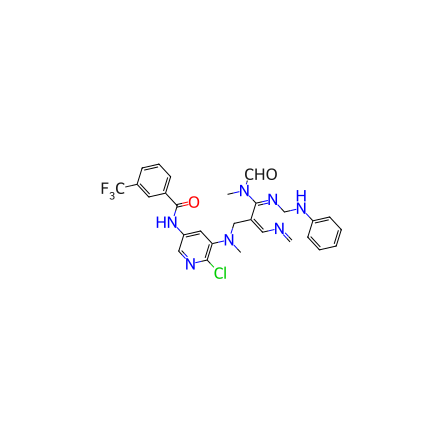 C=N/C=C(CN(C)c1cc(NC(=O)c2cccc(C(F)(F)F)c2)cnc1Cl)\C(=N/CNc1ccccc1)N(C)C=O